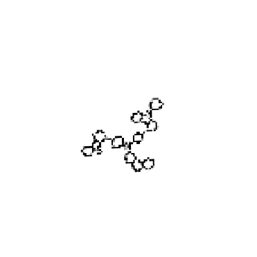 c1ccc(-n2c3ccccc3c3c(-c4ccc(N(c5ccc(-c6cccc7c6sc6ccccc67)cc5)c5ccc6ccc7ccccc7c6c5)cc4)cccc32)cc1